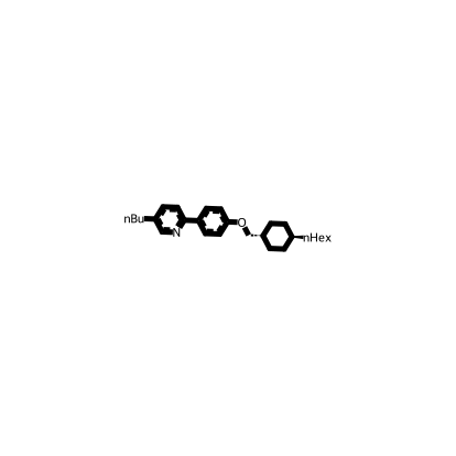 CCCCCC[C@H]1CC[C@H](COc2ccc(-c3ccc(CCCC)cn3)cc2)CC1